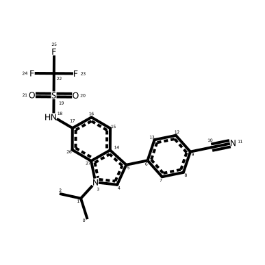 CC(C)n1cc(-c2ccc(C#N)cc2)c2ccc(NS(=O)(=O)C(F)(F)F)cc21